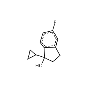 OC1(C2CC2)CCc2cc(F)ccc21